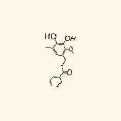 COc1c(C=CC(=O)c2ccccc2)cc(C)c(O)c1O